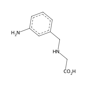 Nc1cccc(CNCC(=O)O)c1